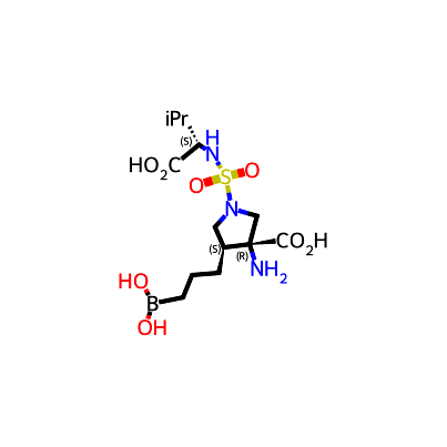 CC(C)[C@H](NS(=O)(=O)N1C[C@H](CCCB(O)O)[C@](N)(C(=O)O)C1)C(=O)O